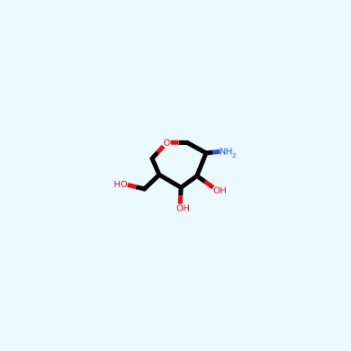 NC1COCC(CO)C(O)C1O